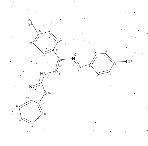 Clc1ccc(/N=N/C(=N/Nc2nc3ccccc3s2)c2ccc(Cl)cc2)cc1